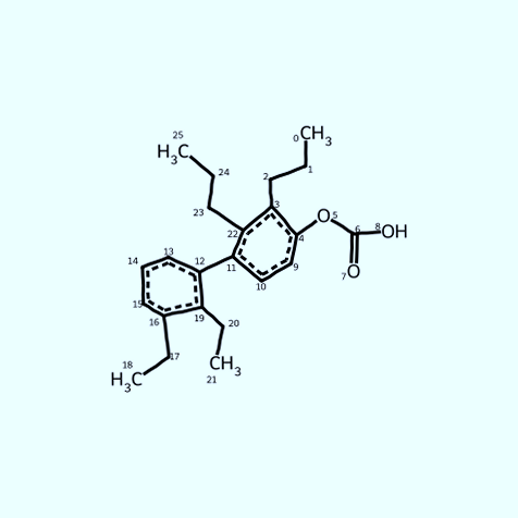 CCCc1c(OC(=O)O)ccc(-c2cccc(CC)c2CC)c1CCC